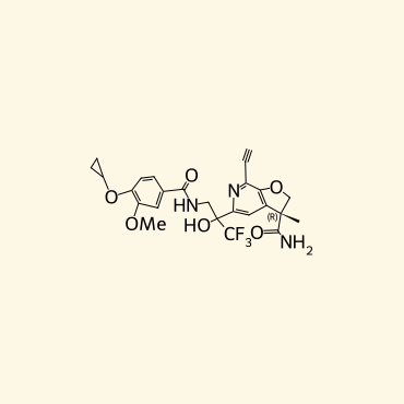 C#Cc1nc(C(O)(CNC(=O)c2ccc(OC3CC3)c(OC)c2)C(F)(F)F)cc2c1OC[C@]2(C)C(N)=O